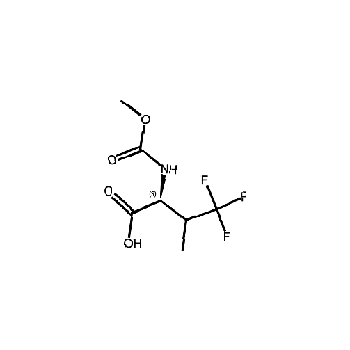 COC(=O)N[C@H](C(=O)O)C(C)C(F)(F)F